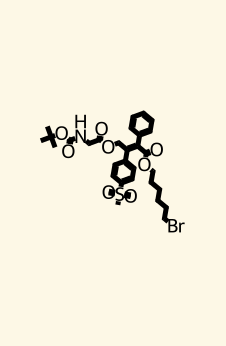 CC(C)(C)OC(=O)NCC(=O)OCC(=C(C(=O)OCCCCCCBr)c1ccccc1)c1ccc(S(C)(=O)=O)cc1